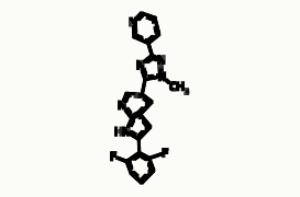 Cn1nc(-c2cccnc2)nc1-c1cnc2[nH]c(-c3c(F)cccc3F)cc2c1